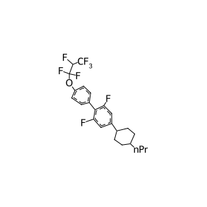 CCCC1CCC(c2cc(F)c(-c3ccc(OC(F)(F)C(F)C(F)(F)F)cc3)c(F)c2)CC1